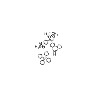 CC1(C)OC[C@H](c2ccc3c(c2)-c2ccccc2C=[NH+]C3)[C@@H](c2ccc(S(C)(=O)=O)cc2)O1.c1ccc([B-](c2ccccc2)(c2ccccc2)c2ccccc2)cc1